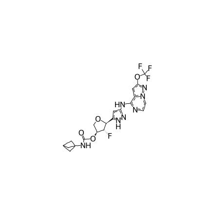 O=C(NC12CC(C1)C2)O[C@H]1CO[C@@H](c2cc(Nc3nccn4nc(OC(F)(F)F)cc34)n[nH]2)[C@@H]1F